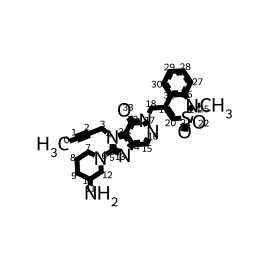 CC#CCn1c(N2CCCC(N)C2)nc2cnn(CC3=CS(=O)(=O)N(C)c4ccccc43)c(=O)c21